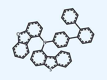 c1ccc(-c2ccccc2-c2ccc(N(c3cccc4oc5ccccc5c34)c3cccc4sc5ccccc5c34)cc2)cc1